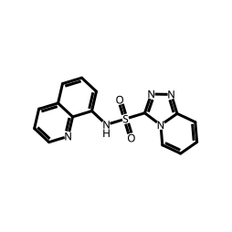 O=S(=O)(Nc1cccc2cccnc12)c1nnc2ccccn12